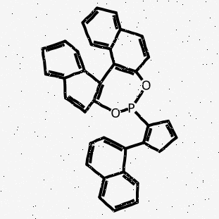 C1=CC(p2oc3ccc4ccccc4c3c3c(ccc4ccccc43)o2)=C(c2cccc3ccccc23)C1